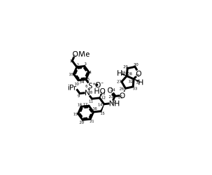 COCc1ccc([S+]([O-])N(CC(C)C)C[C@@H](O)[C@H](Cc2ccccc2)NC(=O)O[C@@H]2C[C@@H]3CCO[C@@H]3C2)cc1